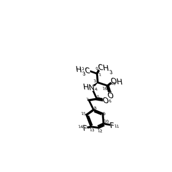 CC(C)[C@H](NC(=O)Cc1cc(F)cc(F)c1)C(=O)O